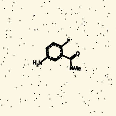 CNC(=O)c1cc(N)ccc1F